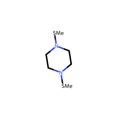 CSN1CCN(SC)CC1